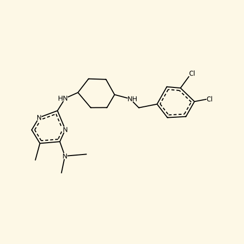 Cc1cnc(NC2CCC(NCc3ccc(Cl)c(Cl)c3)CC2)nc1N(C)C